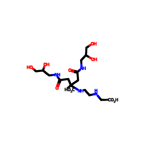 O=C(O)CNCCNC(CC(=O)NCC(O)CO)(CC(=O)NCC(O)CO)C(=O)O